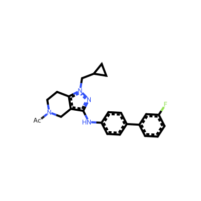 CC(=O)N1CCc2c(c(Nc3ccc(-c4cccc(F)c4)cc3)nn2CC2CC2)C1